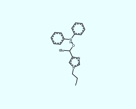 CC(C)(C)C(O[SiH](c1ccccc1)c1ccccc1)c1cn(CCF)cn1